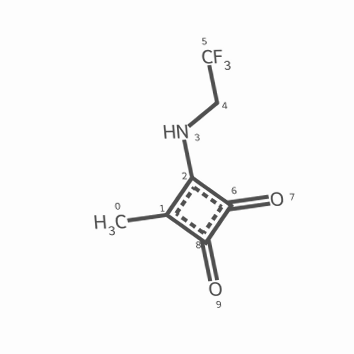 Cc1c(NCC(F)(F)F)c(=O)c1=O